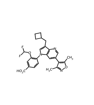 Cc1noc(C)c1-c1cnc2c(CC3CCC3)cn(-c3ccc(C(=O)O)cc3OC(F)F)c2c1